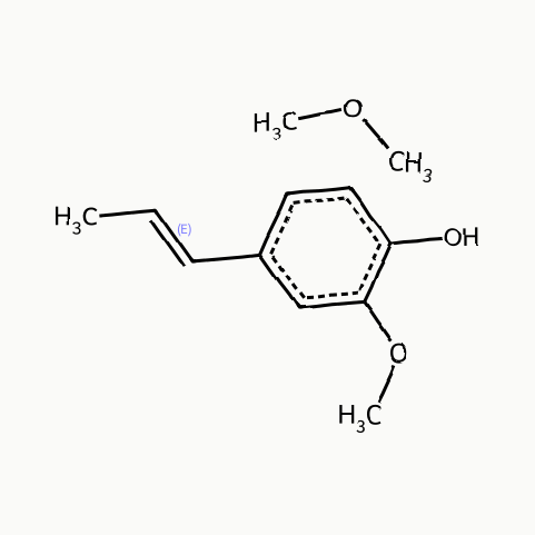 C/C=C/c1ccc(O)c(OC)c1.COC